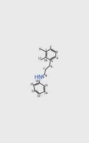 Cc1cccc(CCCNc2cc[c]cc2)c1C